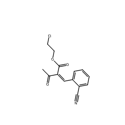 CC(=O)C(=Cc1ccccc1C#N)C(=O)OCCCl